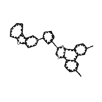 Cc1ccc2c(c1)c1cc(C)ccc1c1nc(-c3cccc(-c4ccc5oc6ccccc6c5c4)c3)cnc21